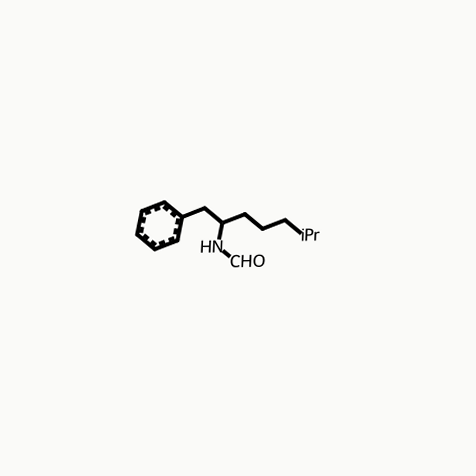 CC(C)CCCC(Cc1ccccc1)NC=O